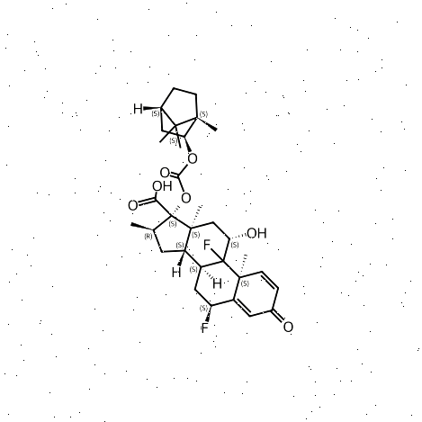 C[C@@H]1C[C@H]2[C@@H]3C[C@H](F)C4=CC(=O)C=C[C@]4(C)C3(F)[C@@H](O)C[C@]2(C)[C@]1(OC(=O)O[C@H]1C[C@@H]2CC[C@@]1(C)C2(C)C)C(=O)O